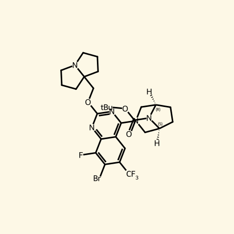 CC(C)(C)OC(=O)N1[C@@H]2CC[C@H]1CN(c1nc(OCC34CCCN3CCC4)nc3c(F)c(Br)c(C(F)(F)F)cc13)C2